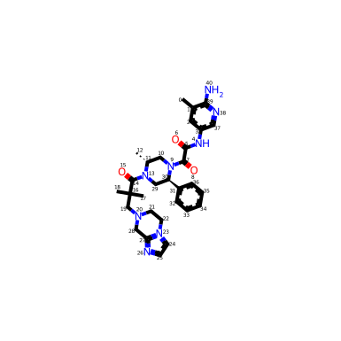 Cc1cc(NC(=O)C(=O)N2C[C@@H](C)N(C(=O)C(C)(C)CN3CCn4ccnc4C3)C[C@@H]2c2ccccc2)cnc1N